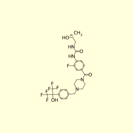 C[C@@H](O)CNC(=O)Nc1ccc(C(=O)N2CCN(Cc3ccc(C(O)(C(F)(F)F)C(F)(F)F)cc3)CC2)cc1F